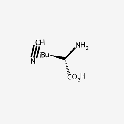 C#N.CC[C@H](C)[C@H](N)C(=O)O